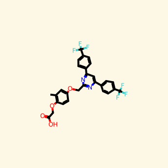 Cc1cc(OCc2nc(-c3ccc(C(F)(F)F)cc3)cc(-c3ccc(C(F)(F)F)cc3)n2)ccc1OCC(=O)O